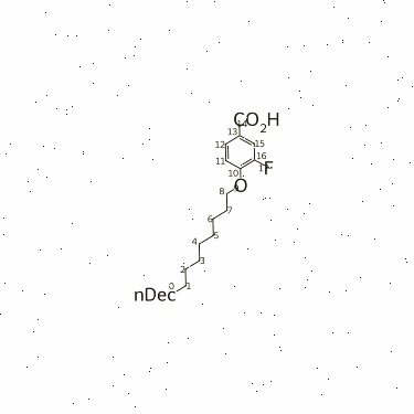 CCCCCCCCCCCCCCCCCCOc1ccc(C(=O)O)cc1F